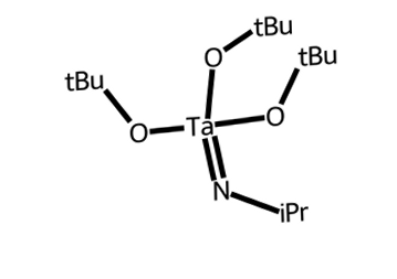 CC(C)[N]=[Ta]([O]C(C)(C)C)([O]C(C)(C)C)[O]C(C)(C)C